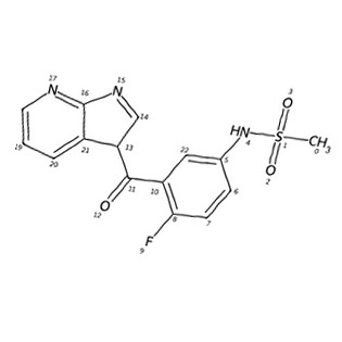 CS(=O)(=O)Nc1ccc(F)c(C(=O)C2C=Nc3ncccc32)c1